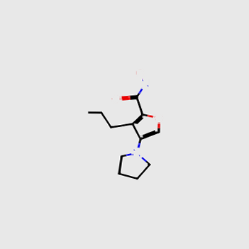 CCCc1c(N2CCCC2)coc1C(=O)N=O